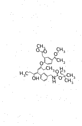 C=C(OCC)c1ccc(O/C(=C/C(=C(/O)CC)c2cccc(CNC(=O)OC(C)(C)C)c2)CC)c(CC(=O)OC)c1